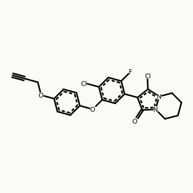 C#CCOc1ccc(Oc2cc(-c3c(Cl)n4n(c3=O)CCCC4)c(F)cc2Cl)cc1